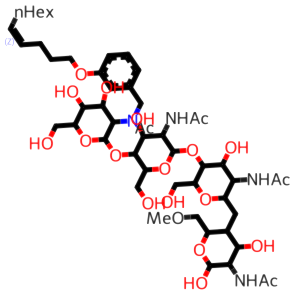 CCCCCC/C=C\CCCOc1cccc(CN(C(C)=O)C2C(OC3C(CO)OC(OC4C(CO)OC(CC5C(COC)OC(O)C(NC(C)=O)C5O)C(NC(C)=O)C4O)C(NC(C)=O)C3O)OC(CO)C(O)C2O)c1